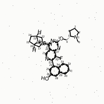 CN1CCC[C@H]1COc1nc(N2C[C@H]3CC[C@@H](C2)N3C(=O)O)c2cnc(-c3cc(O)cc4ccccc34)c(F)c2n1